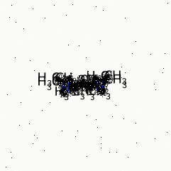 CC(C)(C)c1ccc(N(c2ccccc2)c2cc3c(c4ccccc24)-c2cc4c(cc2C3(C)C)-c2cc3c(cc2C4(C)C)-c2c(cc(N(c4ccccc4)c4ccc(C(C)(C)C)cc4)c4ccccc24)C3(C)C)cc1